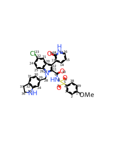 COc1ccc(S(=O)(=O)NC(=O)c2c(-c3ccc[nH]c3=O)c3cc(Cl)ccc3n2Cc2ccc3c(c2)NCC3)cc1